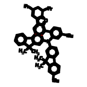 CC(C)C1=Cc2c(oc3c(-c4ccc(C(C)(C)C)cc4N(c4ccc5c(c4)C(C)(C)c4ccccc4-5)c4ccc5c(c4)C(C)(C)c4cc(C(C)(C)C)ccc4-5)cccc23)C(C(C)C)C1